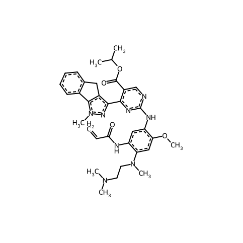 C=CC(=O)Nc1cc(Nc2ncc(C(=O)OC(C)C)c(-c3nn(C)c4c3Cc3ccccc3-4)n2)c(OC)cc1N(C)CCN(C)C